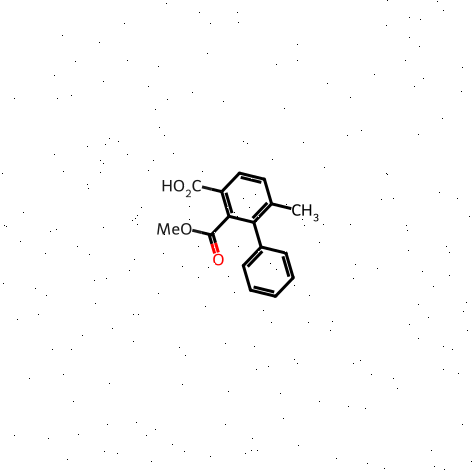 COC(=O)c1c(C(=O)O)ccc(C)c1-c1ccccc1